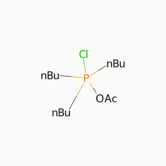 CCCCP(Cl)(CCCC)(CCCC)OC(C)=O